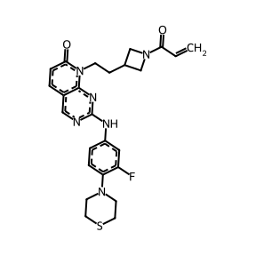 C=CC(=O)N1CC(CCn2c(=O)ccc3cnc(Nc4ccc(N5CCSCC5)c(F)c4)nc32)C1